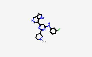 CC(=O)N1CCCC(c2nc(Nc3cccc(F)c3)cc(-c3cncc4cc[nH]c34)n2)C1